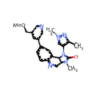 COCc1cncc(-c2ccc3ncc4c(c3c2)n(-c2cn(C)nc2C)c(=O)n4C)c1